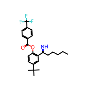 CCCCCC(=N)c1cc(C(C)(C)C)ccc1OC(=O)c1ccc(C(F)(F)F)cc1